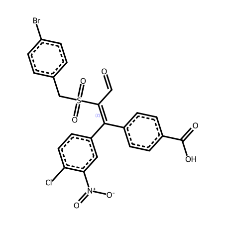 O=C/C(=C(\c1ccc(C(=O)O)cc1)c1ccc(Cl)c([N+](=O)[O-])c1)S(=O)(=O)Cc1ccc(Br)cc1